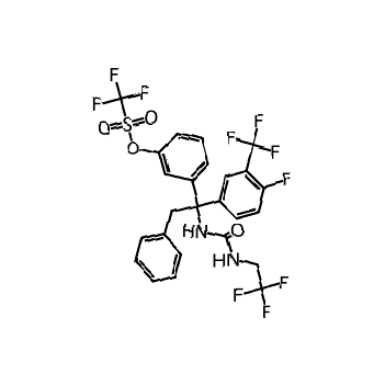 O=C(NCC(F)(F)F)NC(Cc1ccccc1)(c1cccc(OS(=O)(=O)C(F)(F)F)c1)c1ccc(F)c(C(F)(F)F)c1